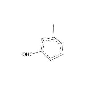 Cc1cccc([C]=O)n1